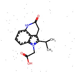 CC(C)c1c2c3c(cccc3n1CC(=O)O)NC(=O)C2